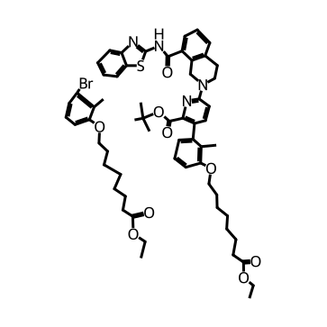 CCOC(=O)CCCCCCCOc1cccc(-c2ccc(N3CCc4cccc(C(=O)Nc5nc6ccccc6s5)c4C3)nc2C(=O)OC(C)(C)C)c1C.CCOC(=O)CCCCCCCOc1cccc(Br)c1C